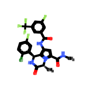 CNC(=O)c1cc(NC(=O)c2cc(F)cc(C(F)(F)F)c2)c2n1[C@H](C)C(=O)N[C@H]2c1cc(F)ccc1Cl